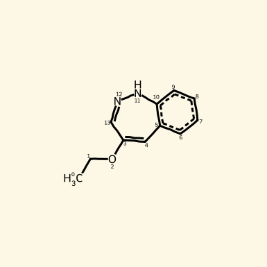 CCOC1=Cc2ccccc2NN=C1